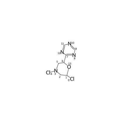 ClC1CN(Cl)CC(c2ncncn2)O1